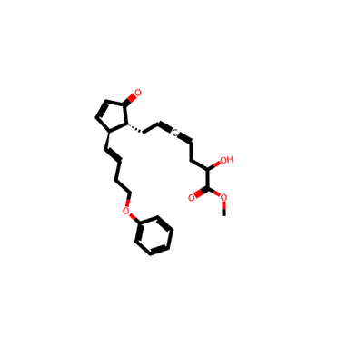 COC(=O)C(O)CC=C=CC[C@H]1C(=O)C=C[C@@H]1/C=C/CCOc1ccccc1